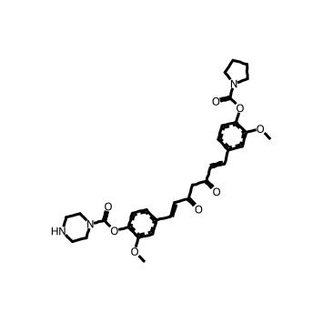 COc1cc(C=CC(=O)CC(=O)C=Cc2ccc(OC(=O)N3CCNCC3)c(OC)c2)ccc1OC(=O)N1CCCC1